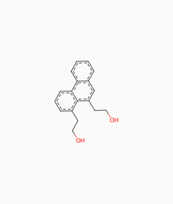 OCCc1cccc2c1c(CCO)cc1ccccc12